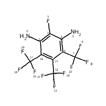 Nc1c(F)c(N)c(C(F)(F)F)c(C(F)(F)F)c1C(F)(F)F